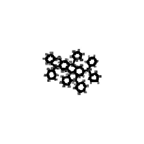 c1ccc(N(c2ccccc2)c2cc3c4c(c2)N(c2ccccc2)c2cc5c(cc2B4c2ccccc2N3c2ccccc2)N(c2ccccc2)c2ccccc2O5)cc1